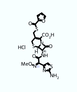 CO/N=C(\C(=O)N[C@@H]1C(=O)N2C(C(=O)O)=C(CSC(=O)c3ccco3)CS[C@H]12)c1csc(N)n1.Cl